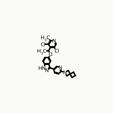 Cc1ncc(Cl)c(C(C)Oc2ccc3[nH]nc(-c4ccc(N5CC6(CCC6)C5)nc4)c3c2)c1Cl